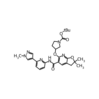 Cn1cc(-c2cccc(NC(=O)c3cc4c(nc3OC3CCN(C(=O)OC(C)(C)C)C3)OC(C)(C)C4)n2)cn1